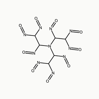 O=NC(N=O)C(N=O)N(C(N=O)C(N=O)N=O)C(N=O)C(N=O)N=O